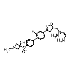 CN1CC(C)([S+]([O-])c2ccc(-c3ccc(C4=NOC(CN(N)/C=C\N)C4)cc3F)cc2)C1